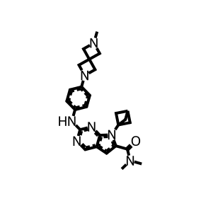 CN1CC2(C1)CN(c1ccc(Nc3ncc4cc(C(=O)N(C)C)n(C56CC(C5)C6)c4n3)cc1)C2